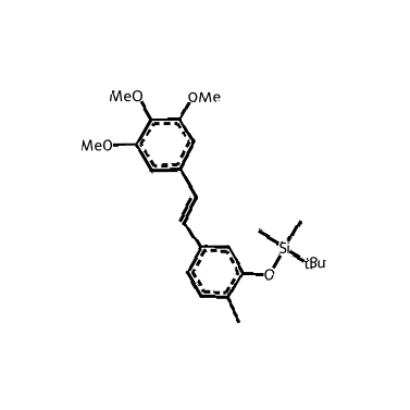 COc1cc(C=Cc2ccc(C)c(O[Si](C)(C)C(C)(C)C)c2)cc(OC)c1OC